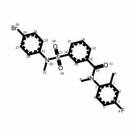 Cc1cc(F)ccc1N(C)C(=O)c1cccc(S(=O)(=O)N(C)c2ccc(Br)cc2)c1